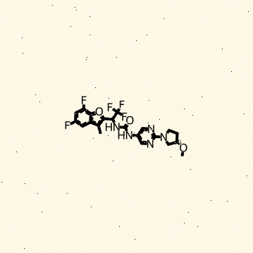 CO[C@@H]1CCN(c2ncc(NC(=O)NC(c3oc4c(F)cc(F)cc4c3C)C(F)(F)F)cn2)C1